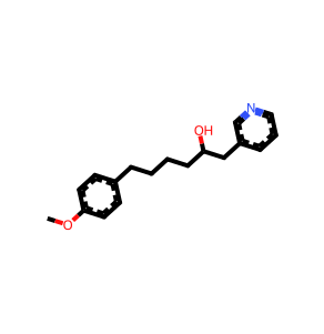 COc1ccc(CCCCC(O)Cc2cccnc2)cc1